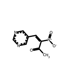 CC(=O)/C(=C\c1cncnc1)[N+](=O)[O-]